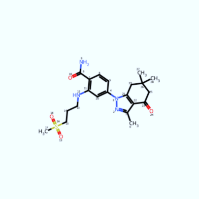 Cc1nn(-c2ccc(C(N)=O)c(NCCCS(C)(=O)=O)c2)c2c1C(=O)CC(C)(C)C2